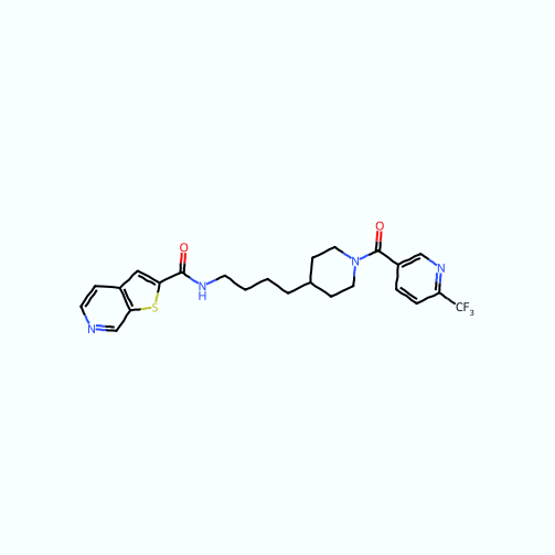 O=C(NCCCCC1CCN(C(=O)c2ccc(C(F)(F)F)nc2)CC1)c1cc2ccncc2s1